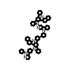 c1ccc(-n2c3ccc(-n4c5ccccc5c5cc6c7cc(-c8cccc(-n9c%10ccccc%10c%10cc(-n%11c%12ccccc%12c%12cc%13c%14ccccc%14n%14c%15c%16ccccc%16ccc%15c(c%12%11)c%13%14)ncc%109)c8)ccc7n7c8c9ccccc9ccc8c(c54)c67)cc3c3cccnc32)cc1